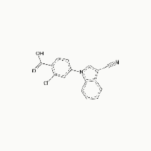 N#Cc1cn(-c2ccc(C(=O)O)c(Cl)c2)c2ccccc12